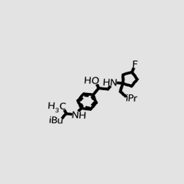 CCC(C)C(C)Nc1ccc(C(O)CNC2(CC(C)C)CCC(F)C2)cc1